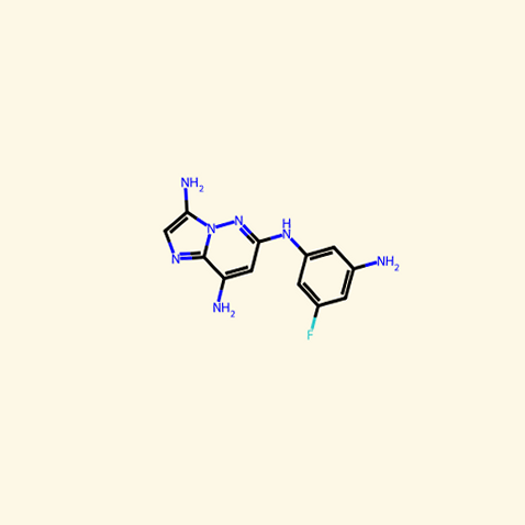 Nc1cc(F)cc(Nc2cc(N)c3ncc(N)n3n2)c1